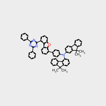 CC1(C)c2ccccc2-c2ccc(N(c3ccc(-c4cccc5c4oc4cccc(-c6nc(-c7ccccc7)nc(-c7ccccc7)n6)c45)cc3)c3cccc4c3-c3ccccc3C4(C)C)cc21